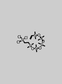 C=C[Si](C)(C)O[Si](C)(C)O[Si](C)(C)O[Si](C)(C)O[Si](C)(C)CC[Si](Cl)(Cl)Cl